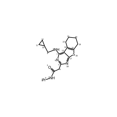 CC(C)NC(=O)Cc1nc(NCC2CC2)c2c3c(sc2n1)CCCC3